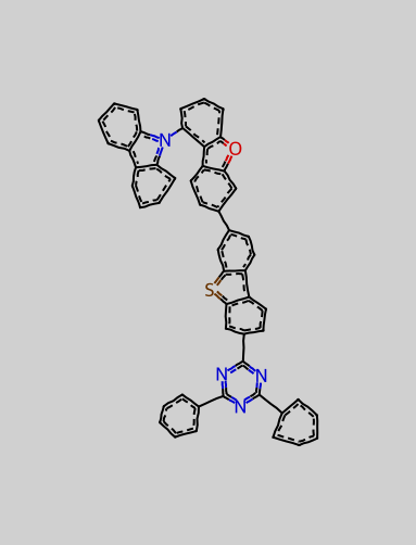 c1ccc(-c2nc(-c3ccccc3)nc(-c3ccc4c(c3)sc3cc(-c5ccc6c(c5)oc5cccc(-n7c8ccccc8c8ccccc87)c56)ccc34)n2)cc1